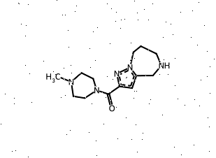 CN1CCN(C(=O)c2cc3n(n2)CCCNC3)CC1